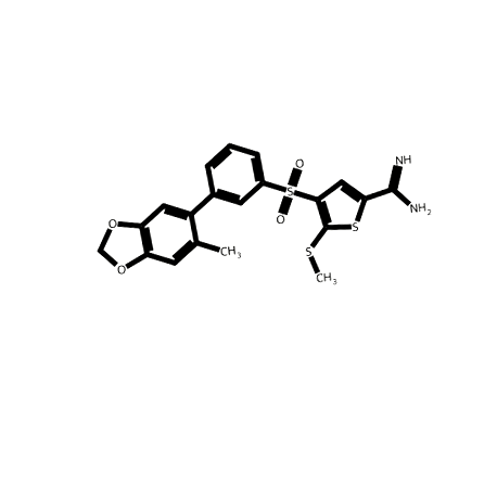 CSc1sc(C(=N)N)cc1S(=O)(=O)c1cccc(-c2cc3c(cc2C)OCO3)c1